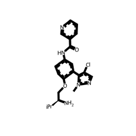 CC(C)[C@H](N)COc1ccc(NC(=O)c2cccnc2)cc1-c1c(Cl)cnn1C